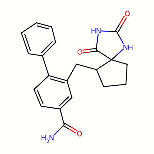 NC(=O)c1ccc(-c2ccccc2)c(CC2CCCC23NC(=O)NC3=O)c1